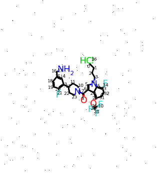 CCCCn1cc(C(=O)N2CCC(c3cc(CN)ccc3F)CC2)c2c(OC(F)(F)F)ccc(F)c21.Cl